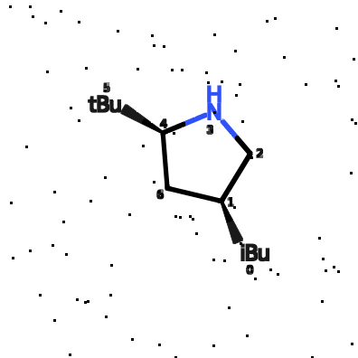 CCC(C)[C@@H]1CN[C@H](C(C)(C)C)C1